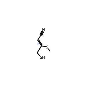 CS/C(=C\C#N)CS